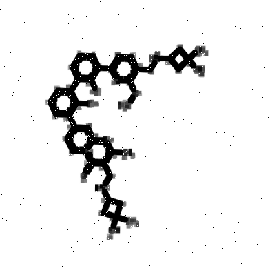 COc1nc(-c2cccc(-c3cccc(-c4ccn5c(=O)c(CNC6CC(C)(O)C6)c(C)nc5c4)c3Cl)c2Cl)ccc1CNC1CC(C)(O)C1